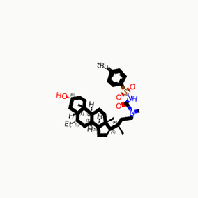 CC[C@H]1C[C@@H]2[C@H](CC[C@]3(C)[C@@H]([C@H](C)CCN(C)C(=O)NS(=O)(=O)c4ccc(C(C)(C)C)cc4)CC[C@@H]23)[C@@]2(C)CC[C@@H](O)C[C@@H]12